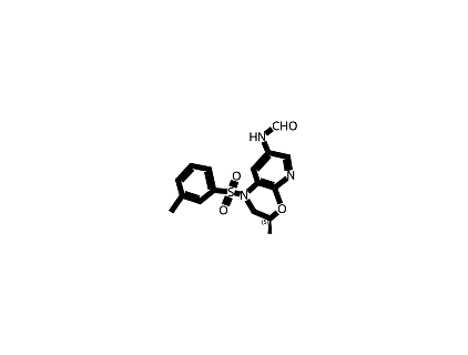 Cc1cccc(S(=O)(=O)N2C[C@H](C)Oc3ncc(NC=O)cc32)c1